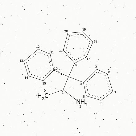 [CH2]C(N)C(c1ccccc1)(c1ccccc1)c1ccccc1